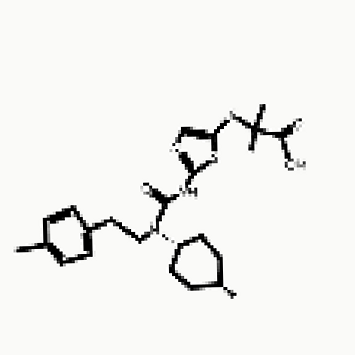 Cc1ccc(CCN(C(=O)Nc2ncc(SC(C)(C)C(=O)O)s2)[C@H]2CC[C@H](C)CC2)cc1